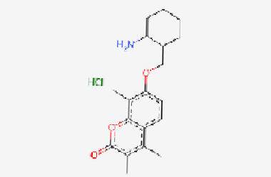 Cc1c(C)c2ccc(OCC3CCCCC3N)c(C)c2oc1=O.Cl